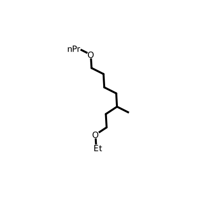 CCCOCCCCC(C)CCOCC